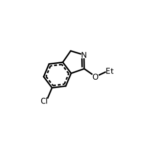 CCOC1=NCc2ccc(Cl)cc21